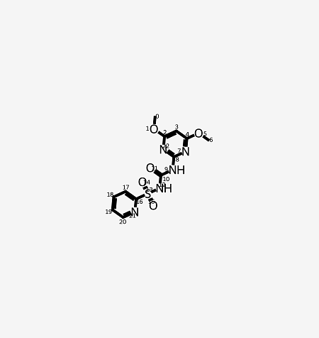 COc1cc(OC)nc(NC(=O)NS(=O)(=O)c2ccccn2)n1